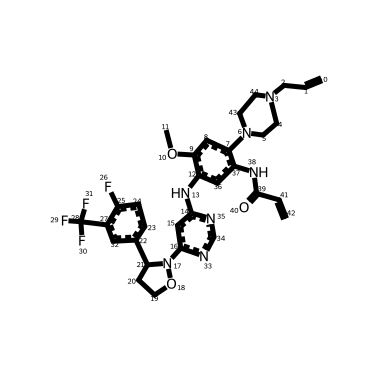 C=CCN1CCN(c2cc(OC)c(Nc3cc(N4OCCC4c4ccc(F)c(C(F)(F)F)c4)ncn3)cc2NC(=O)C=C)CC1